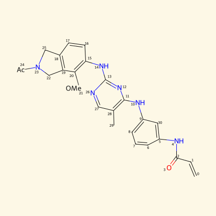 C=CC(=O)Nc1cccc(Nc2nc(Nc3ccc4c(c3OC)CN(C(C)=O)C4)ncc2C)c1